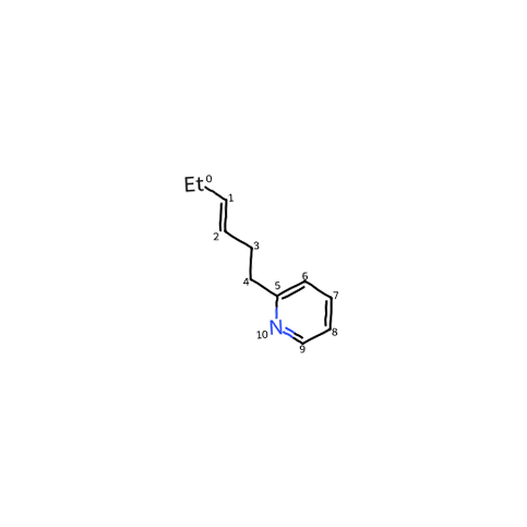 CC/C=C/CCc1ccccn1